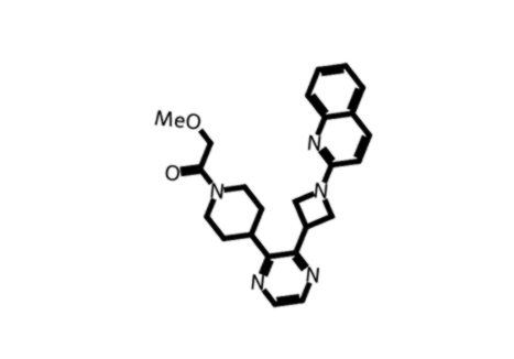 COCC(=O)N1CCC(c2nccnc2C2CN(c3ccc4ccccc4n3)C2)CC1